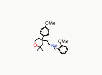 COc1ccc(C2(CCNCc3ccccc3OC)CCOC(C)(C)C2)cc1